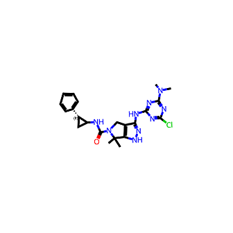 CN(C)c1nc(Cl)nc(Nc2n[nH]c3c2CN(C(=O)NC2C[C@@H]2c2ccccc2)C3(C)C)n1